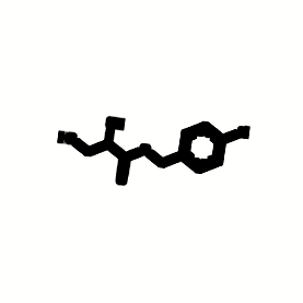 O=C(OCc1ccc(Cl)cc1)C(O)CO